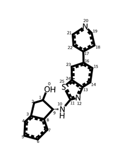 OC1Cc2ccccc2[C@H]1Nc1nc2ccc(-c3ccncc3)cc2s1